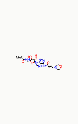 COC(=O)NC[C@H]1O[C@@H](n2cnc3c(NC(=O)/C=C/CN4CCOCC4)ncnc32)[C@H](O)[C@@H]1O